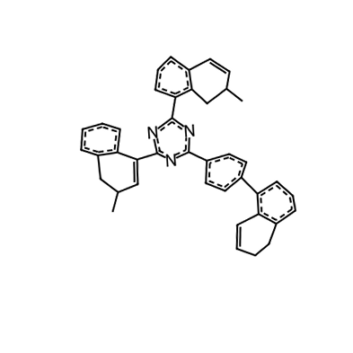 CC1C=C(c2nc(-c3ccc(-c4cccc5c4C=CCC5)cc3)nc(-c3cccc4c3CC(C)C=C4)n2)c2ccccc2C1